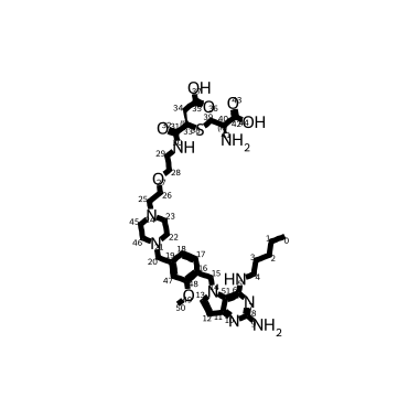 CCCCCNc1nc(N)nc2ccn(Cc3ccc(CN4CCN(CCOCCNC(=O)[C@@H](CC(=O)O)SC[C@H](N)C(=O)O)CC4)cc3OC)c12